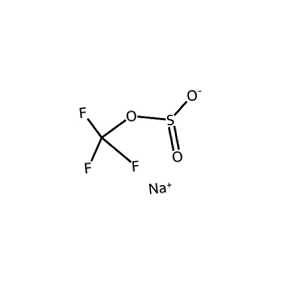 O=S([O-])OC(F)(F)F.[Na+]